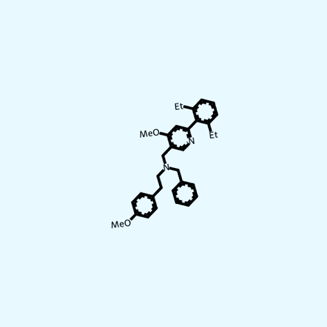 CCc1cccc(CC)c1-c1cc(OC)c(CN(CCc2ccc(OC)cc2)Cc2ccccc2)cn1